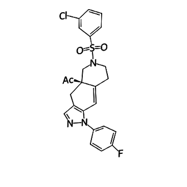 CC(=O)[C@]12Cc3cnn(-c4ccc(F)cc4)c3C=C1CCN(S(=O)(=O)c1cccc(Cl)c1)C2